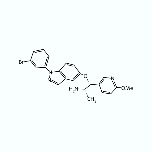 COc1ccc([C@@H](Oc2ccc3c(cnn3-c3cccc(Br)c3)c2)[C@H](C)N)cn1